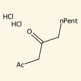 CCCCCCC(=O)CC(C)=O.Cl.Cl